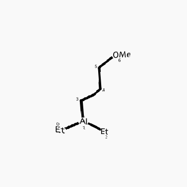 C[CH2][Al]([CH2]C)[CH2]CCOC